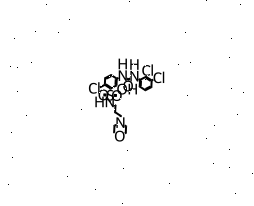 O=C(Nc1ccc(Cl)c(S(=O)(=O)NCCCN2CCOCC2)c1O)Nc1cccc(Cl)c1Cl